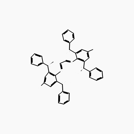 Cc1cc([C@H](C)c2ccccc2)c(/N=C/C=N/c2c([C@H](C)c3ccccc3)cc(C)cc2[C@H](C)c2ccccc2)c([C@H](C)c2ccccc2)c1